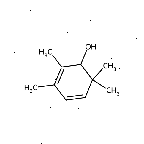 CC1=C(C)C(O)C(C)(C)C=C1